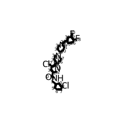 O=C(NCc1cccc(Cl)c1)c1cnc(N2CCN(C3CCN(Cc4ccc(F)c(F)c4)CC3)CC2)c(Cl)c1